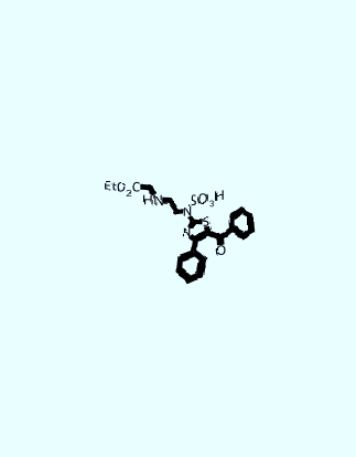 CCOC(=O)CNCCN(c1nc(-c2ccccc2)c(C(=O)c2ccccc2)s1)S(=O)(=O)O